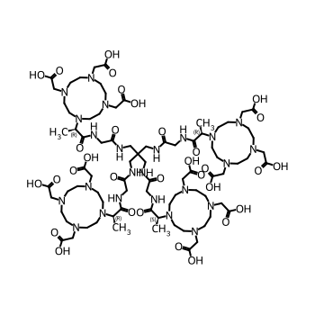 C[C@H](C(=O)NCC(=O)NCC(CNC(=O)CNC(=O)[C@@H](C)N1CCN(CC(=O)O)CCN(CC(=O)O)CCN(CC(=O)O)CC1)(CNC(=O)CNC(=O)[C@@H](C)N1CCN(CC(=O)O)CCN(CC(=O)O)CCN(CC(=O)O)CC1)CNC(=O)CNC(=O)[C@H](C)N1CCN(CC(=O)O)CCN(CC(=O)O)CCN(CC(=O)O)CC1)N1CCN(CC(=O)O)CCN(CC(=O)O)CCN(CC(=O)O)CC1